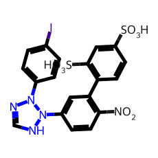 O=[N+]([O-])c1ccc(N2NC=NN2c2ccc(I)cc2)cc1-c1ccc(S(=O)(=O)O)cc1S(=O)(=O)O